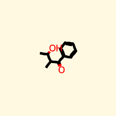 CC(O)C(C)C(=O)c1ccccc1